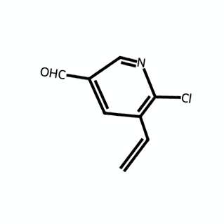 C=Cc1cc(C=O)cnc1Cl